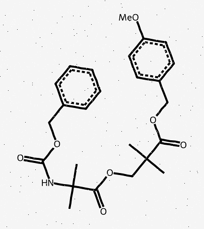 COc1ccc(COC(=O)C(C)(C)COC(=O)C(C)(C)NC(=O)OCc2ccccc2)cc1